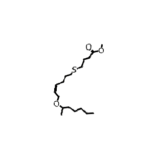 CCCCCC(C)OC/C=C\CCCSCCCC(=O)OC